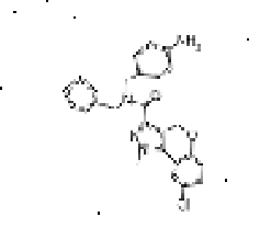 Cn1nc(C(=O)N(Cc2ccccc2)Cc2ccc(N)cc2)c2c1-c1cc(Cl)ccc1OC2